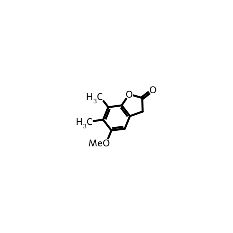 COc1cc2c(c(C)c1C)OC(=O)C2